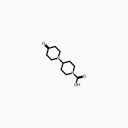 O=C1CCN(C2CCN(C(=O)O)CC2)CC1